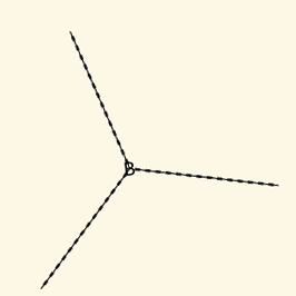 CC#CC#CC#CC#CC#CC#CC#CC#CC#CC#CC#CC#CC#CC#CB(C#CC#CC#CC#CC#CC#CC#CC#CC#CC#CC#CC#CC#CC#CC)C#CC#CC#CC#CC#CC#CC#CC#CC#CC#CC#CC#CC#CC#CC